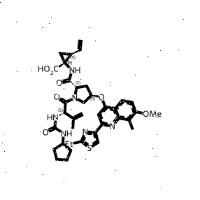 C=C[C@@H]1C[C@]1(NC(=O)[C@@H]1C[C@@H](Oc2cc(-c3csc(CC)n3)nc3c(C)c(OC)ccc23)CN1C(=O)[C@@H](NC(=O)NC1CCCC1)C(=C)C)C(=O)O